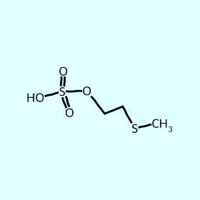 CSCCOS(=O)(=O)O